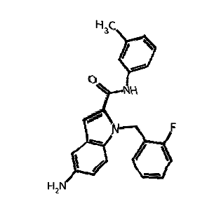 Cc1cccc(NC(=O)c2cc3cc(N)ccc3n2Cc2ccccc2F)c1